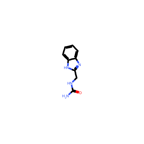 NC(=O)NCc1nc2ccccc2[nH]1